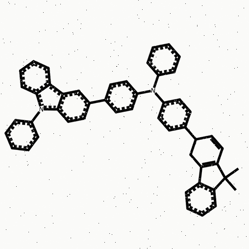 CC1(C)C2=C(CC(c3ccc(N(c4ccccc4)c4ccc(-c5ccc6c(c5)c5ccccc5n6-c5ccccc5)cc4)cc3)C=C2)c2ccccc21